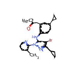 COC(=O)c1cc(C2CC2)ccc1Nc1c(Br)c(C2CC2)nn1-c1ncccc1C